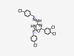 O=C(N=C(N/N=C/c1ccc(Cl)cc1)N/N=C/c1ccc(Cl)cc1)c1ccc(Cl)c(Cl)c1